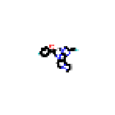 CC(O)(Cn1c2c(c3nc(CF)cnc31)C1CCCN1CC2)c1ccc(F)cc1